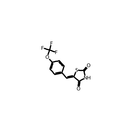 O=C1NC(=O)/C(=C/c2ccc(OC(F)(F)F)cc2)S1